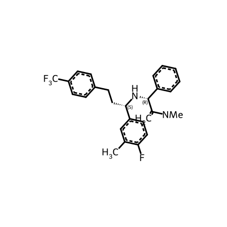 C=C(NC)[C@H](N[C@@H](CCc1ccc(C(F)(F)F)cc1)c1ccc(F)c(C)c1)c1ccccc1